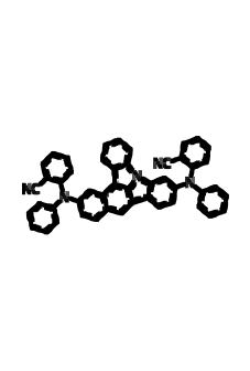 N#Cc1ccccc1N(c1ccccc1)c1ccc2cc3c4ccc(N(c5ccccc5)c5ccccc5C#N)cc4n4c5ccccc5c(c2c1)c34